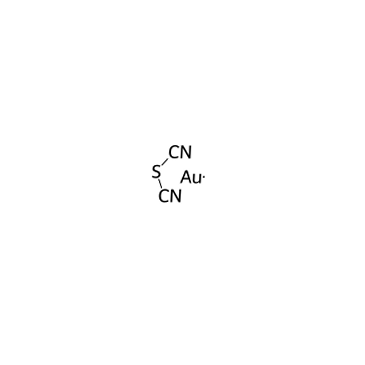 N#CSC#N.[Au]